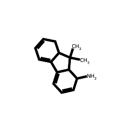 CC1(C)C2CC=CC=C2C2=CC=CC(N)C21